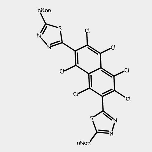 CCCCCCCCCc1nnc(-c2c(Cl)c(Cl)c3c(Cl)c(Cl)c(-c4nnc(CCCCCCCCC)s4)c(Cl)c3c2Cl)s1